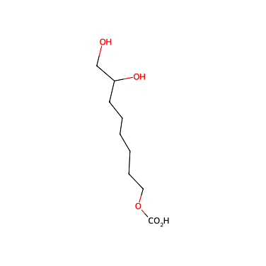 O=C(O)OCCCCCCC(O)CO